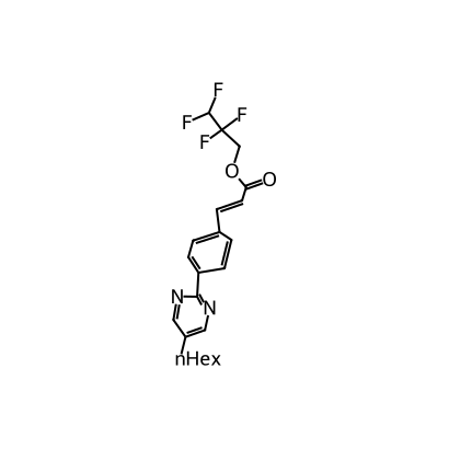 CCCCCCc1cnc(-c2ccc(C=CC(=O)OCC(F)(F)C(F)F)cc2)nc1